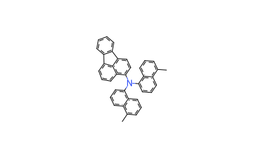 Cc1cccc2c(N(c3cccc4c(C)cccc34)c3ccc4c5c(cccc35)-c3ccccc3-4)cccc12